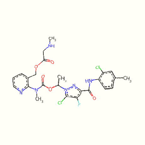 CNCC(=O)OCc1cccnc1N(C)C(=O)OC(C)n1nc(C(=O)Nc2ccc(C)cc2Cl)c(F)c1Cl